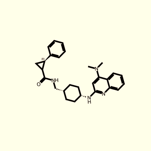 CN(C)c1cc(N[C@H]2CC[C@@H](CNC(=O)C3C[C@H]3c3ccccc3)CC2)nc2ccccc12